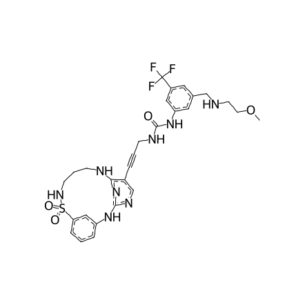 COCCNCc1cc(NC(=O)NCC#Cc2cnc3nc2NCCCNS(=O)(=O)c2cccc(c2)N3)cc(C(F)(F)F)c1